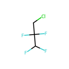 FC(F)C(F)(F)CCl